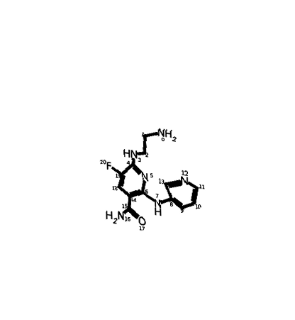 NCCNc1nc(Nc2cccnc2)c(C(N)=O)cc1F